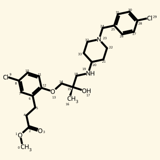 COC(=O)CCc1cc(Cl)ccc1OC[C@@](C)(O)CNC1CCN(Cc2ccc(Cl)cc2)CC1